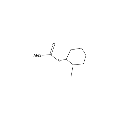 CSC(=O)SC1CCCCC1C